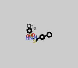 Cc1ccc(S(=O)(=O)Nc2nc(-c3ccc(C4CCCCC4)cc3)cs2)cc1